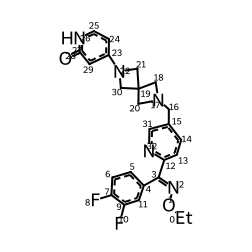 CCO/N=C(\c1ccc(F)c(F)c1)c1ccc(CN2CC3(C2)CN(c2cc[nH]c(=O)c2)C3)cn1